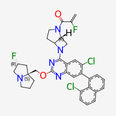 C=C(F)C(=O)N1CCC2[C@H]1CN2c1nc(OC[C@@]23CCCN2C[C@H](F)C3)nc2cc(-c3cccc4cccc(Cl)c34)c(Cl)cc12